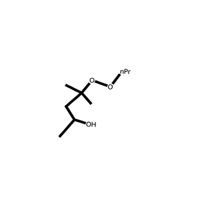 CCCOOC(C)(C)CC(C)O